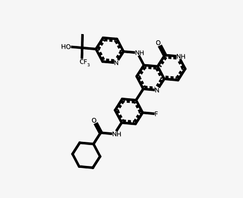 CC(O)(c1ccc(Nc2cc(-c3ccc(NC(=O)C4CCCCC4)cc3F)nc3cc[nH]c(=O)c23)nc1)C(F)(F)F